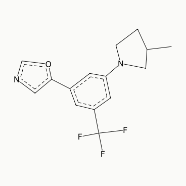 CC1CCN(c2cc(-c3cnco3)cc(C(F)(F)F)c2)C1